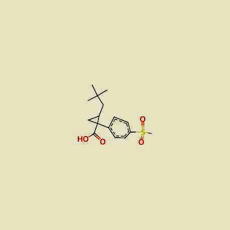 CC(C)(C)CC1CC1(C(=O)O)c1ccc(S(C)(=O)=O)cc1